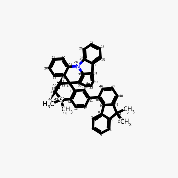 CC1(C)c2ccccc2-c2c(-c3ccc4c(c3)C3(c5ccccc5-n5c6ccccc6c6cccc3c65)c3ccccc3[Si]4(C)C)cccc21